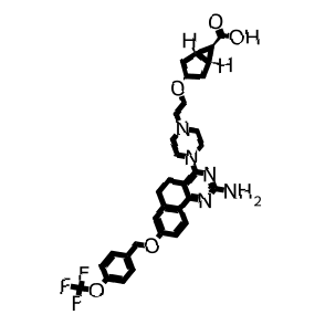 Nc1nc2c(c(N3CCN(CCO[C@@H]4C[C@@H]5[C@H](C4)[C@@H]5C(=O)O)CC3)n1)CCc1cc(OCc3ccc(OC(F)(F)F)cc3)ccc1-2